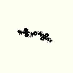 CC(C)OC(=O)N(C)Cc1c2ccccc2c(CN(C)C(=O)COc2ccc(C(=O)CNCc3c4ccccc4c(CN(C)C(=O)OC(C)(C)C)c4ccccc34)cc2)c2ccccc12